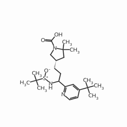 CC(C)(C)c1ccnc(C(CC[C@@H]2CN(C(=O)O)C(C)(C)C2)N[S+]([O-])C(C)(C)C)c1